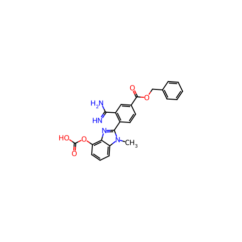 Cn1c(-c2ccc(C(=O)OCc3ccccc3)cc2C(=N)N)nc2c(OC(=O)O)cccc21